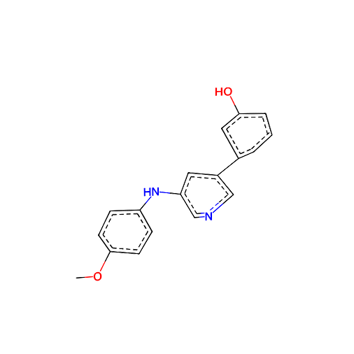 COc1ccc(Nc2cncc(-c3cccc(O)c3)c2)cc1